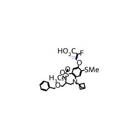 CSc1cc2c(cc1O/C=C(\F)C(=O)O)S(=O)(=O)N(C)C(COCc1ccccc1)CN2C12CC(C1)C2